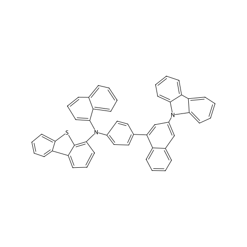 c1ccc2c(-c3ccc(N(c4cccc5ccccc45)c4cccc5c4sc4ccccc45)cc3)cc(-n3c4ccccc4c4ccccc43)cc2c1